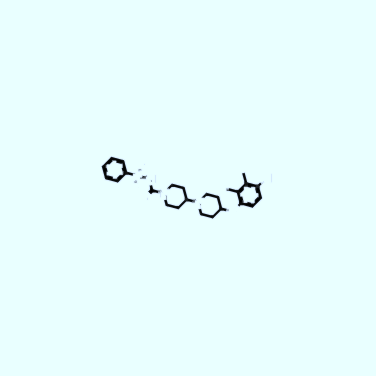 Cc1c(Cl)ccc(OC2CCN(C3CCN(C(=O)NS(=O)(=O)c4ccccc4)CC3)CC2)c1Cl